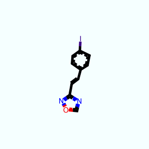 Ic1ccc(/C=C/c2ncon2)cc1